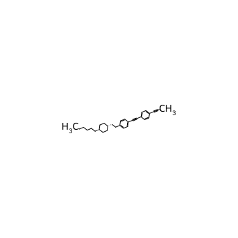 CC#Cc1ccc(C#Cc2ccc(CC[C@H]3CC[C@H](CCCCCC)CC3)cc2)cc1